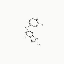 Cc1cc(Oc2cc(I)ncn2)cc2[nH]c(C(F)(F)F)nc12